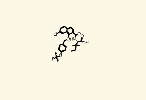 CCC(C)(C)[C@H](NC(=O)c1ccc2ccc(Cl)cc2c1OCc1ccc(OC(F)(F)F)cc1)C(=O)O